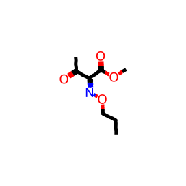 CCCO/N=C(/C(C)=O)C(=O)OC